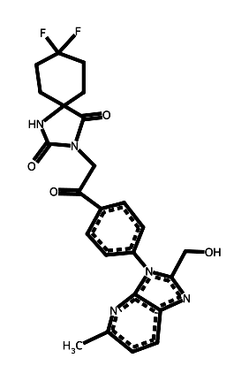 Cc1ccc2nc(CO)n(-c3ccc(C(=O)CN4C(=O)NC5(CCC(F)(F)CC5)C4=O)cc3)c2n1